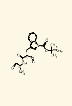 C[C@@H](C=O)NC(=O)[C@H](Cc1cn(C(=O)OC(C)(C)C)c2ccccc12)N=O